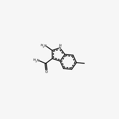 Cc1ccc2c(C(N)=O)c(N)[nH]c2c1